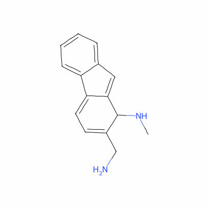 CNC1C(CN)=CC=C2C1=Cc1ccccc12